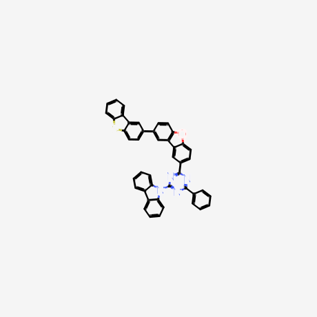 c1ccc(-c2nc(-c3ccc4oc5ccc(-c6ccc7sc8ccccc8c7c6)cc5c4c3)nc(-n3c4ccccc4c4ccccc43)n2)cc1